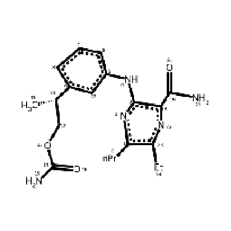 CCCc1nc(Nc2cccc([C@@H](C)COC(N)=O)c2)c(C(N)=O)nc1CC